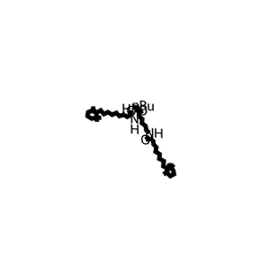 CCCCNC(=O)C(CCCCNC(=O)CCCCCCCCC1=C(C)CCCC1(C)C)NC(=O)CCCCCCCCC1=C(C)CCCC1(C)C